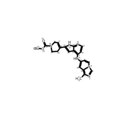 Cc1ncn2ccc(Nc3ccnc4[nH]c(C5=CCN(C(=O)OC(C)(C)C)CC5)cc34)cc12